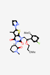 COCCO[C@@H](Cn1c(=O)n([C@@H]2CCCN(C)C2=O)c(=O)c2c(C)c(-n3cccn3)sc21)c1cc(F)ccc1OC